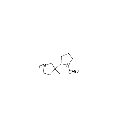 CC1(C2CCCN2C=O)CCNC1